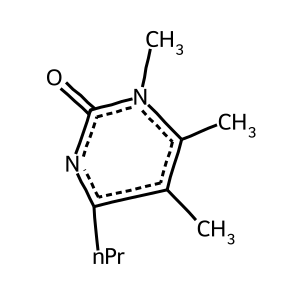 CCCc1nc(=O)n(C)c(C)c1C